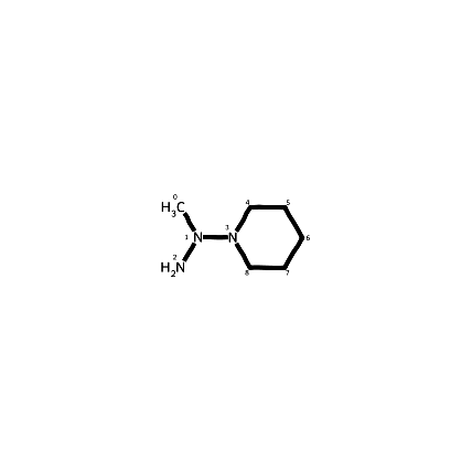 CN(N)N1CCCCC1